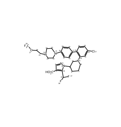 O=C(O)c1cnn(C2CCCN(c3cc(Cl)ccc3-c3ccc(N4CCN(CCOC(F)(F)F)CC4)cc3)C2)c1C(F)F